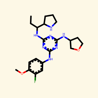 CCC(Nc1nc(Nc2ccc(OC)c(F)c2)nc(NC2CCOC2)n1)C1CCCN1